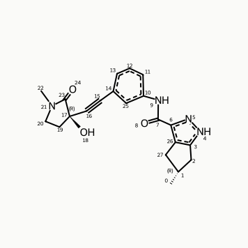 C[C@H]1Cc2[nH]nc(C(=O)Nc3cccc(C#C[C@]4(O)CCN(C)C4=O)c3)c2C1